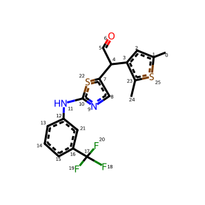 Cc1cc(C(C=O)c2cnc(Nc3cccc(C(F)(F)F)c3)s2)c(C)s1